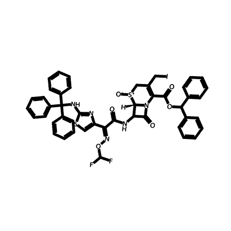 O=C(NC1C(=O)N2C(C(=O)OC(c3ccccc3)c3ccccc3)=C(CI)C[S+]([O-])[C@@H]12)C(=NOC(F)F)c1csc(NC(c2ccccc2)(c2ccccc2)c2ccccc2)n1